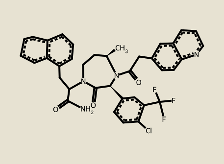 C[C@@H]1CCN(C(Cc2cccc3ccccc23)C(N)=O)C(=O)[C@H](c2ccc(Cl)c(C(F)(F)F)c2)N1C(=O)Cc1ccc2ncccc2c1